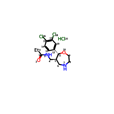 CCC(=O)NC[C@@H]1CNCCO[C@H]1c1ccc(Cl)c(Cl)c1.Cl